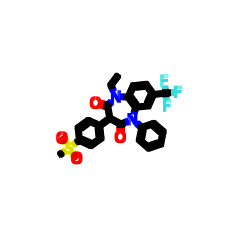 CCN1C(=O)C(c2ccc(S(C)(=O)=O)cc2)C(=O)N(c2ccccc2)c2cc(C(F)(F)F)ccc21